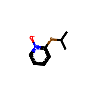 CC(C)Sc1cccc[n+]1[O-]